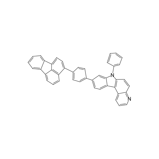 c1ccc(-n2c3cc(-c4ccc(-c5ccc6c7c(cccc57)-c5ccccc5-6)cc4)ccc3c3c4cccnc4ccc32)cc1